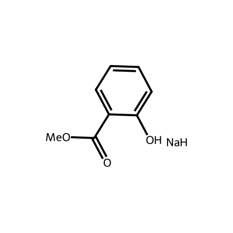 COC(=O)c1ccccc1O.[NaH]